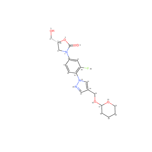 O=C1O[C@@H](CO)CN1c1ccc(-n2cc(COC3CCCCO3)cn2)c(F)c1